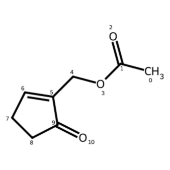 CC(=O)OCC1=CCCC1=O